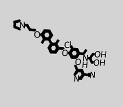 Cc1c(COc2cc(OCc3cncc(C#N)c3)c(C(C)NC(CO)CO)cc2Cl)cccc1-c1cccc(OCCCN2CCCC2)c1C